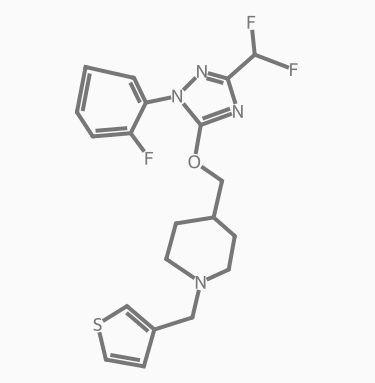 Fc1ccccc1-n1nc(C(F)F)nc1OCC1CCN(Cc2ccsc2)CC1